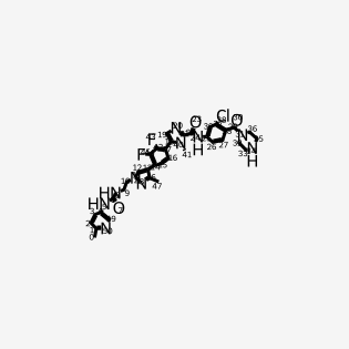 Cc1ccc(NC(=O)NCCn2cc(-c3ccc(-c4cnc(C(=O)Nc5ccc(C(=O)N6CCNCC6)c(Cl)c5)n4C)c(F)c3F)c(C)n2)cn1